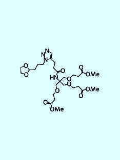 COC(=O)CCOCC(COCCC(=O)OC)(COCCC(=O)OC)NC(=O)CCc1cnnn1CCCC1OCCO1